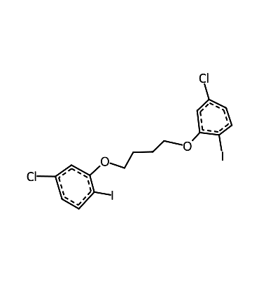 Clc1ccc(I)c(OCCCCOc2cc(Cl)ccc2I)c1